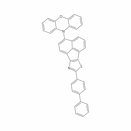 c1ccc(-c2ccc(-c3nc4c(s3)-c3cccc5c(N6c7ccccc7Oc7ccccc76)ccc-4c35)cc2)cc1